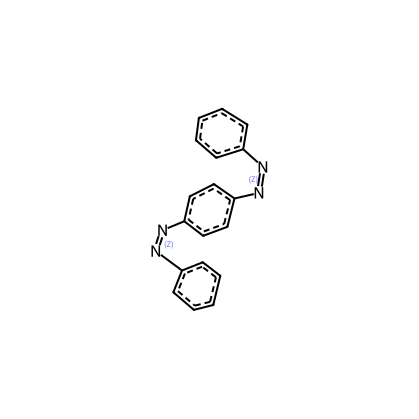 c1ccc(/N=N\c2ccc(/N=N\c3ccccc3)cc2)cc1